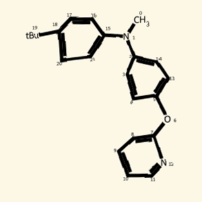 CN(c1ccc(Oc2ccccn2)cc1)c1ccc(C(C)(C)C)cc1